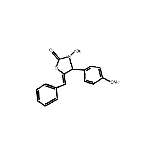 CCCCN1C(=O)O/C(=C\c2ccccc2)C1c1ccc(OC)cc1